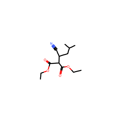 CCOC(=O)C(C(=O)OCC)C(C#N)CC(C)C